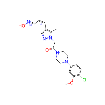 COc1cc(N2CCN(C(=O)Cn3ncc(/C=C\C=N\O)c3C)CC2)ccc1Cl